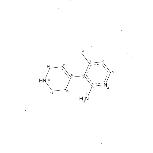 Cc1ccnc(N)c1C1=CCNCC1